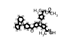 CC(=O)O/N=C(/C)c1ccc(-n2c3ccc(C(=O)c4ccc(-n5c6ccccc6c6ccccc65)cc4)cc3c3cc(/C(C)=N/O)ccc32)cc1